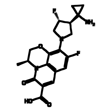 C[C@H]1COc2c(N3C[C@H](F)[C@@H](C4(N)CC4)C3)c(F)cc3cc(C(=O)O)c(=O)n1c23